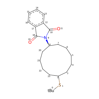 CC(C)(C)SC1CCCCC[C@H](N2C(=O)c3ccccc3C2=O)CCCC1